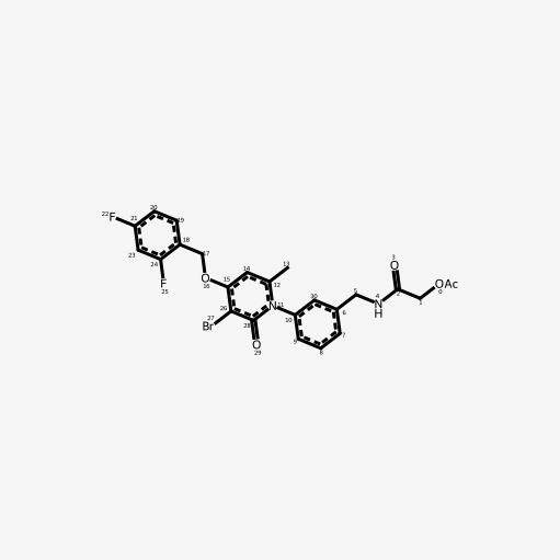 CC(=O)OCC(=O)NCc1cccc(-n2c(C)cc(OCc3ccc(F)cc3F)c(Br)c2=O)c1